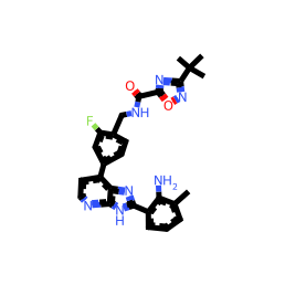 Cc1cccc(-c2nc3c(-c4ccc(CNC(=O)c5nc(C(C)(C)C)no5)c(F)c4)ccnc3[nH]2)c1N